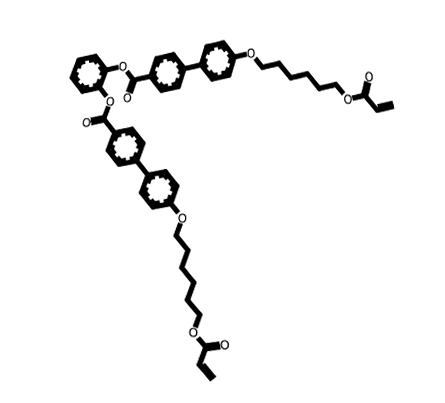 C=CC(=O)OCCCCCCOc1ccc(-c2ccc(C(=O)Oc3ccccc3OC(=O)c3ccc(-c4ccc(OCCCCCCOC(=O)C=C)cc4)cc3)cc2)cc1